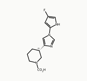 O=C(O)N1CCC[C@H](c2cn(-c3cc(F)c[nH]3)cn2)C1